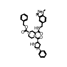 Cn1nnc2cc(CNC(=O)[C@@H]3CN(C(=O)OCc4ccccc4)CCN3C(=O)[C@H]3C[C@@H](c4ccccc4)CN3)ccc21